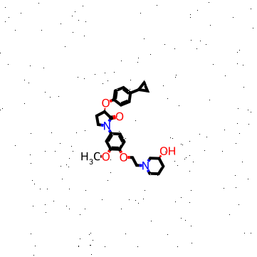 COc1cc(N2CC[C@H](Oc3ccc(C4CC4)cc3)C2=O)ccc1OCCN1CCC[C@H](O)C1